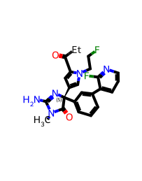 CCC(=O)c1cc([C@]2(c3cccc(-c4cccnc4F)c3)N=C(N)N(C)C2=O)cn1CCF